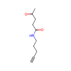 C#CCCCNC(=O)CCC(C)=O